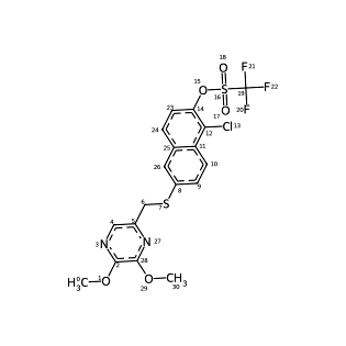 COc1ncc(CSc2ccc3c(Cl)c(OS(=O)(=O)C(F)(F)F)ccc3c2)nc1OC